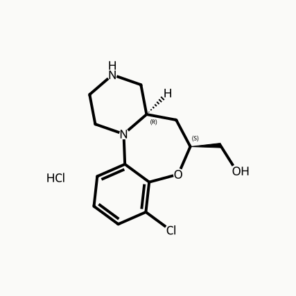 Cl.OC[C@@H]1C[C@@H]2CNCCN2c2cccc(Cl)c2O1